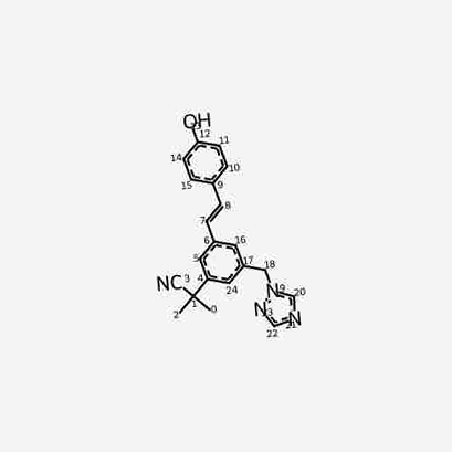 CC(C)(C#N)c1cc(C=Cc2ccc(O)cc2)cc(Cn2cncn2)c1